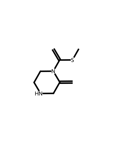 C=C1CNCCN1C(=C)SC